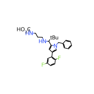 CC(C)(C)C(NCCCNC(=O)O)c1cc(-c2cc(F)ccc2F)cn1Cc1ccccc1